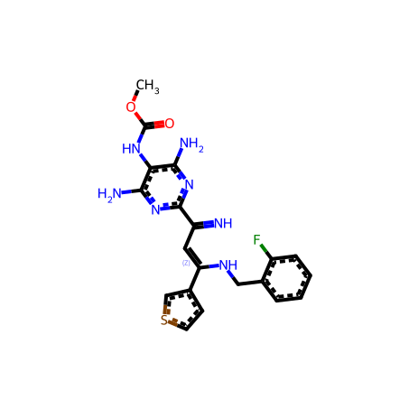 COC(=O)Nc1c(N)nc(C(=N)/C=C(\NCc2ccccc2F)c2ccsc2)nc1N